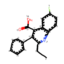 CCc1nc2ccc(F)cc2c(C(=O)O)c1-c1ccccc1